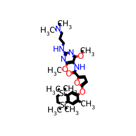 COc1nc(NCCCN(C)C)nc(OC)c1NC(=O)c1ccc(Oc2cc3c(cc2C)[Si](C)(C)CC[Si]3(C)C)o1